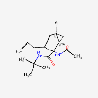 C=CCC1C[C@H]2C[C@H]2C1(NC(C)=O)C(=O)NC(C)(C)C